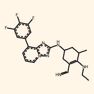 CCNC1=C(C=N)CC(Nc2nc3c(-c4cc(F)c(F)c(F)c4)cccn3n2)CC1C